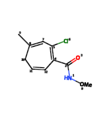 CONC(=O)C1=C(Cl)C=C(C)CC=C1